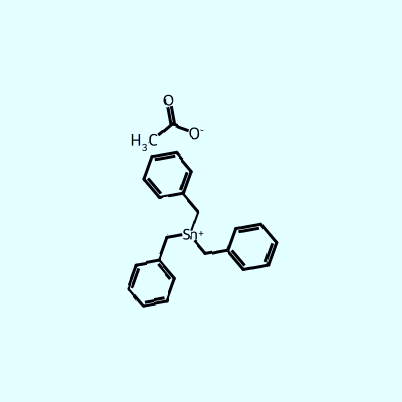 CC(=O)[O-].c1ccc([CH2][Sn+]([CH2]c2ccccc2)[CH2]c2ccccc2)cc1